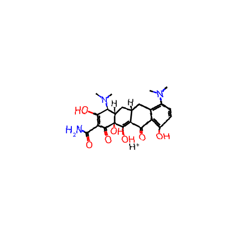 CN(C)c1ccc(O)c2c1C[C@H]1C[C@H]3[C@H](N(C)C)C(O)=C(C(N)=O)C(=O)[C@@]3(O)C(O)=C1C2=O.[H+]